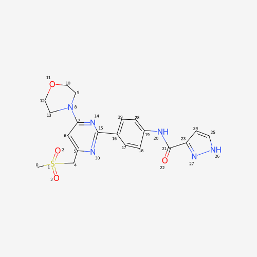 CS(=O)(=O)Cc1cc(N2CCOCC2)nc(-c2ccc(NC(=O)c3cc[nH]n3)cc2)n1